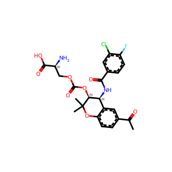 CC(=O)c1ccc2c(c1)[C@H](NC(=O)c1ccc(F)c(Cl)c1)[C@H](OC(=O)OC[C@H](N)C(=O)O)C(C)(C)O2